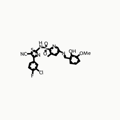 COc1cccc(C=Nc2cnc(S(=O)(=O)Nc3nc(-c4ccc(F)c(Cl)c4)c(C#N)s3)c(C)c2)c1O